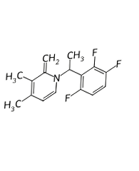 C=C1C(C)=C(C)C=CN1C(C)c1c(F)ccc(F)c1F